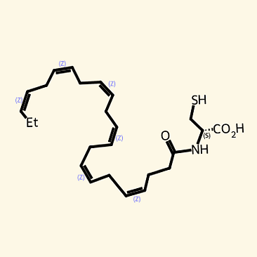 CC/C=C\C/C=C\C/C=C\C/C=C\C/C=C\C/C=C\CCC(=O)N[C@H](CS)C(=O)O